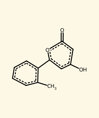 Cc1ccccc1-c1cc(O)cc(=O)o1